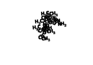 CCC(CC)COC(=O)[C@H](C)N[P@@](=O)(OCc1ccccc1C)OC[C@H]1O[C@@](C#N)(c2ccc3c(N)ncnn23)[C@H](OC(=O)C(C)C)[C@@H]1OC(=O)C(C)C